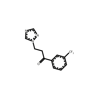 O=C(CCn1cncn1)c1cccc(C(F)(F)F)c1